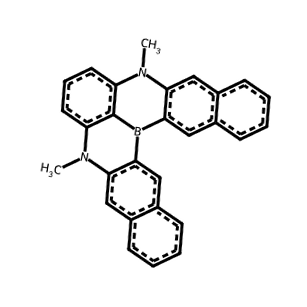 CN1c2cc3ccccc3cc2B2c3cc4ccccc4cc3N(C)c3cccc1c32